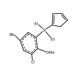 CC[Si](CC)(C1=CC=CC1)c1cc(C(C)(C)C)cc(Cl)c1OC